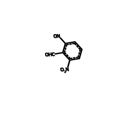 O=Cc1c(N=O)cccc1[N+](=O)[O-]